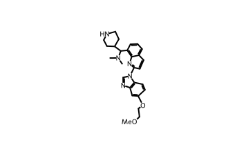 COCCOc1ccc2c(c1)ncn2-c1ccc2cccc(C(C3CCNCC3)N(C)C)c2n1